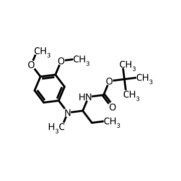 CCC(NC(=O)OC(C)(C)C)N(C)c1ccc(OC)c(OC)c1